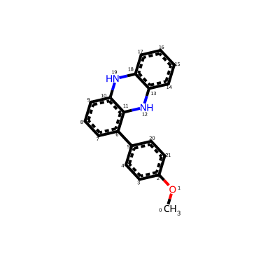 COc1ccc(-c2cccc3c2Nc2ccccc2N3)cc1